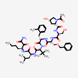 CCCC[C@H](NC(=O)[C@H](CC(C)C)NC(=O)[C@@H](NC(=O)[C@H](Cc1ccccc1C)NC(=O)[C@@H](COCc1ccccc1)NC(=O)[C@H](CO)NC(=O)[C@@H]1C[C@H](O)CN1C(C)=O)C(C)(C)C)C(=O)C(N)=O